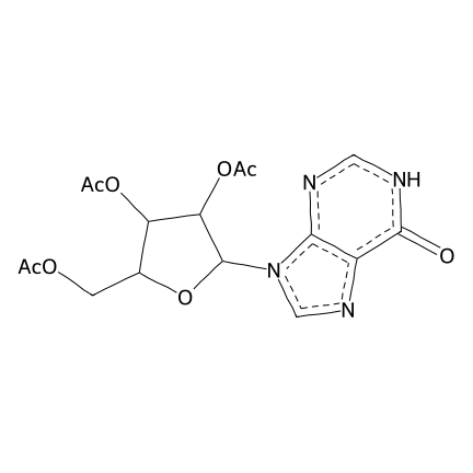 CC(=O)OCC1OC(n2cnc3c(=O)[nH]cnc32)C(OC(C)=O)C1OC(C)=O